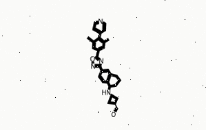 Cc1cc(-c2nc(-c3ccc4c(c3)CCCC4N[C@H]3C[C@H](C=O)C3)no2)cc(C)c1-c1ccncc1